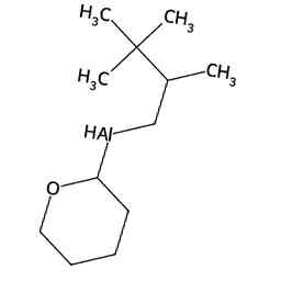 CC([CH2][AlH][CH]1CCCCO1)C(C)(C)C